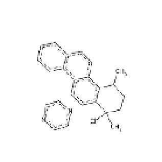 CC1CCC(C)(Cl)c2ccc3c(ccc4ccccc43)c21.c1cnccn1